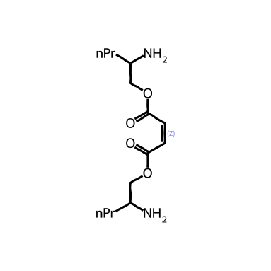 CCCC(N)COC(=O)/C=C\C(=O)OCC(N)CCC